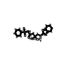 CC(S)(CNc1nc2ccccc2o1)CC(=O)NS(=O)(=O)c1ccccc1